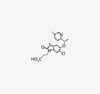 Cc1ccc([C@@H](C)Oc2cc3sc(=O)n(CCC(=O)O)c3cc2Cl)nc1